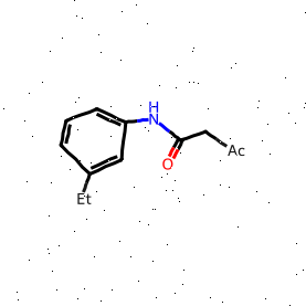 CCc1cccc(NC(=O)CC(C)=O)c1